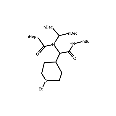 CCCCCCCCCCC(CCCCCCCCCC)N(C(=O)CCCCCCC)C(C(=O)NCCCC)C1CCN(CC)CC1